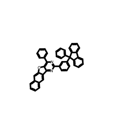 c1ccc(-c2nc(-c3cccc(C4(c5ccccc5)c5ccccc5-c5ccccc54)c3)nc3c2oc2cc4ccccc4cc23)cc1